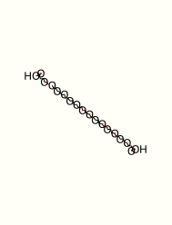 O=C(O)CCOCCOCCOCCOCCOCCOCCOCCOCCOCCOCCOCCOCCOCCOCCC(=O)O